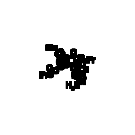 CC(C)OC(=O)OCO[P@](=O)(OC[C@H]1O[C@@](C#N)(c2ccc3c(N)ncnn23)[C@H](OC(=O)C(C)C)[C@@H]1OC(=O)C(C)C)Oc1ccc(C(C)(C)C)cc1